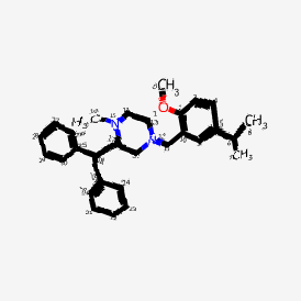 COc1ccc(C(C)C)cc1CN1CCN(C)C(C(c2ccccc2)c2ccccc2)C1